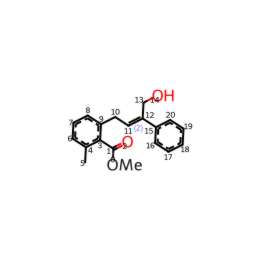 COC(=O)c1c(C)cccc1C/C=C(\CO)c1ccccc1